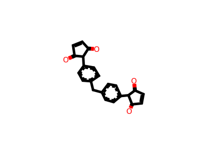 O=C1C=CC(=O)C1c1ccc(Cc2ccc(C3C(=O)C=CC3=O)cc2)cc1